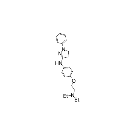 CCN(CC)CCOc1ccc(NC2=NN(c3ccccc3)CC2)cc1